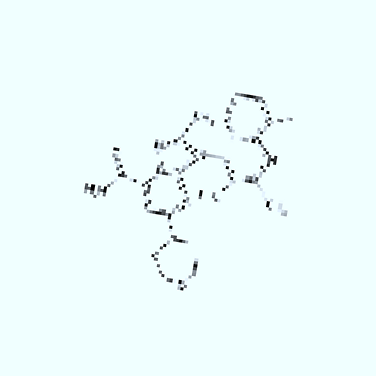 Cc1nc2c(F)cccc2c(-n2c(C)nc3c(C(N)=O)cc(N4CCOCC4)cc32)c1C